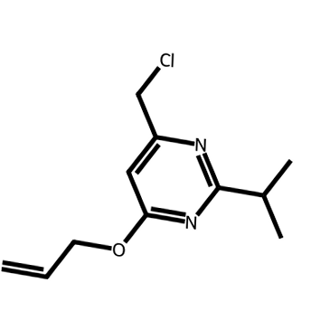 C=CCOc1cc(CCl)nc(C(C)C)n1